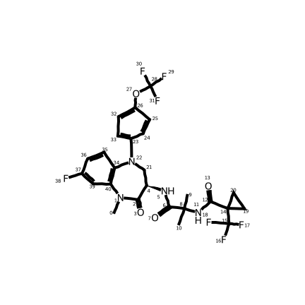 CN1C(=O)[C@H](NC(=O)C(C)(C)NC(=O)C2(C(F)(F)F)CC2)CN(c2ccc(OC(F)(F)F)cc2)c2ccc(F)cc21